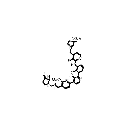 COc1nc(-c2ccnc(-c3cccc(Nc4nccc(CN5CC[C@](C)(C(=O)O)C5)c4F)c3Cl)c2Cl)ccc1CNC[C@@H]1CCC(=O)N1